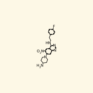 NC1CCN(c2cc3ncnc(NCCc4ccc(F)cc4)c3cc2[N+](=O)[O-])CC1